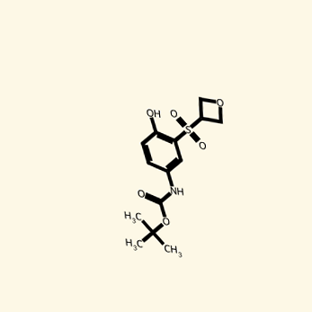 CC(C)(C)OC(=O)Nc1ccc(O)c(S(=O)(=O)C2COC2)c1